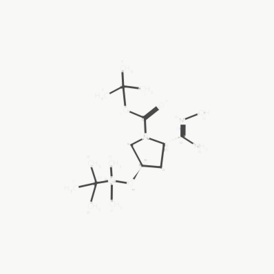 CC(C)(C)OC(=O)N1C[C@H](O[Si](C)(C)C(C)(C)C)C[C@H]1/C(N)=N/O